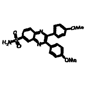 COc1ccc(-c2nc3ccc(S(N)(=O)=O)cc3nc2-c2ccc(OC)cc2)cc1